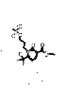 CCOC(=O)c1ccc(C(F)(F)F)n(CCCOS(C)(=O)=O)c1=O